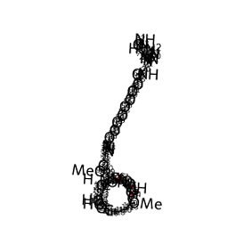 CO[C@H]1C[C@@H]2CC[C@@H](C)[C@@](O)(O2)C(=O)C(=O)N2CCCC[C@H]2C(=O)O[C@H]([C@H](N)C[C@@H]2CC[C@@H](OCCCCc3cn(CCOCCOCCOCCOCCOCCOCCOCCOCCC(=O)NCCCCn4nc(-c5ccc6oc(N)nc6c5)c5c(N)ncnc54)nn3)[C@H](OC)C2)CC(=O)[C@H](C)/C=C(\C)[C@@H](O)[C@@H](O)C(=O)[C@H](C)C[C@H](C)/C=C/C=C/C=C/1C